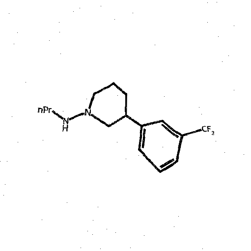 CCCNN1CCCC(c2cccc(C(F)(F)F)c2)C1